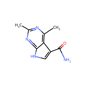 Cc1nc(C)c2c(C(N)=O)c[nH]c2n1